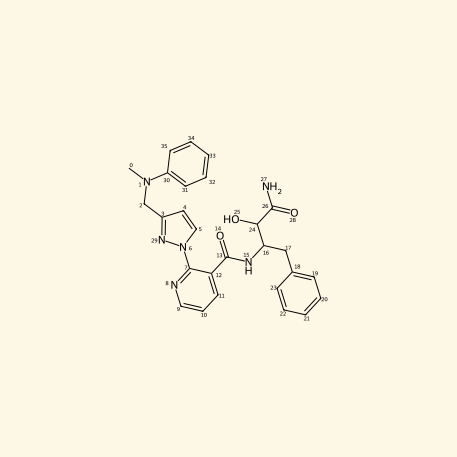 CN(Cc1ccn(-c2ncccc2C(=O)NC(Cc2ccccc2)C(O)C(N)=O)n1)c1ccccc1